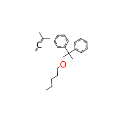 C=C=C(C)C.CCCCCOCC(C)(c1ccccc1)c1ccccc1